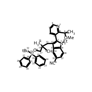 CCn1c(-c2cccnc2C(C)OC)c(CC(C)(C)CO[Si](c2ccccc2)(c2ccccc2)C(C)(C)C)c2cc(C#N)ccc21